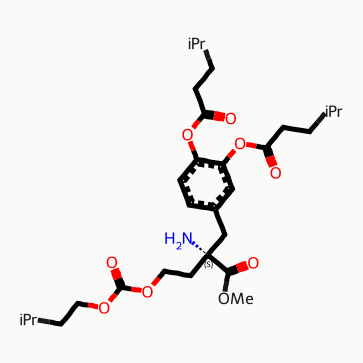 COC(=O)[C@@](N)(CCOC(=O)OCCC(C)C)Cc1ccc(OC(=O)CCC(C)C)c(OC(=O)CCC(C)C)c1